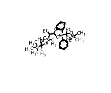 CCC(C(C)O[Si](c1ccccc1)(c1ccccc1)C(CC)(CC)O[Si](C)(C)C)[Si](C)(C)OC(C)(CC)[Si](C)(C)C